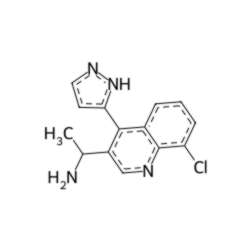 CC(N)c1cnc2c(Cl)cccc2c1-c1ccn[nH]1